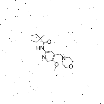 CCC(C)(CC)C(=O)Nc1cc(CN2CCOCC2)c(OC)cn1